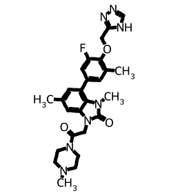 Cc1cc(-c2cc(C)c(OCc3nnc[nH]3)c(F)c2)c2c(c1)n(CC(=O)N1CCN(C)CC1)c(=O)n2C